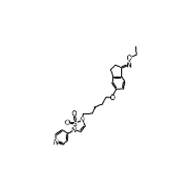 CCON=C1CCc2cc(OCCCCCN3C=CN(c4ccncc4)S3(=O)=O)ccc21